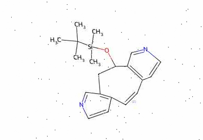 CC(C)(C)[Si](C)(C)OC1Cc2cnccc2/C=C\c2ccncc21